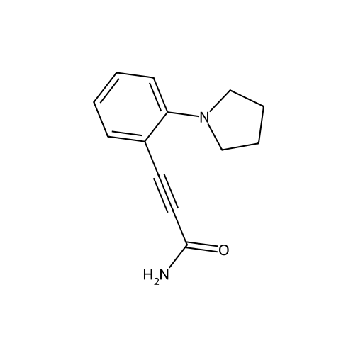 NC(=O)C#Cc1ccccc1N1CCCC1